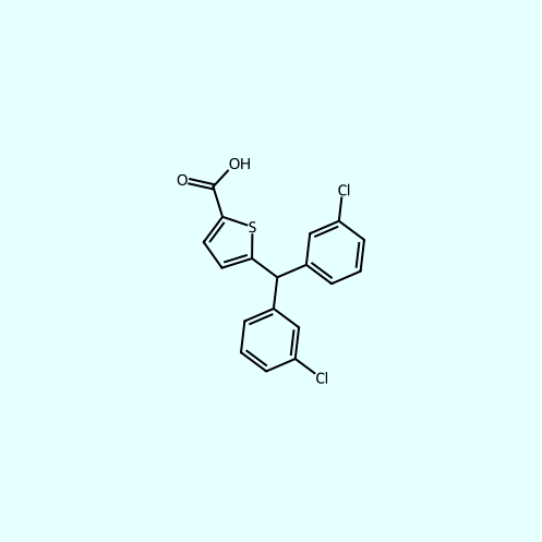 O=C(O)c1ccc(C(c2cccc(Cl)c2)c2cccc(Cl)c2)s1